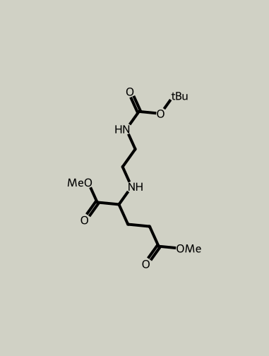 COC(=O)CCC(NCCNC(=O)OC(C)(C)C)C(=O)OC